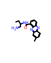 CCC(CN)NC(=O)c1cccc2nc3ccc(C)cc3nc12